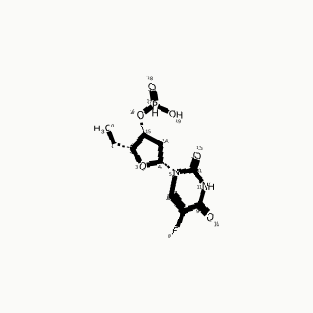 CC[C@H]1O[C@@H](n2cc(F)c(=O)[nH]c2=O)C[C@H]1O[PH](=O)O